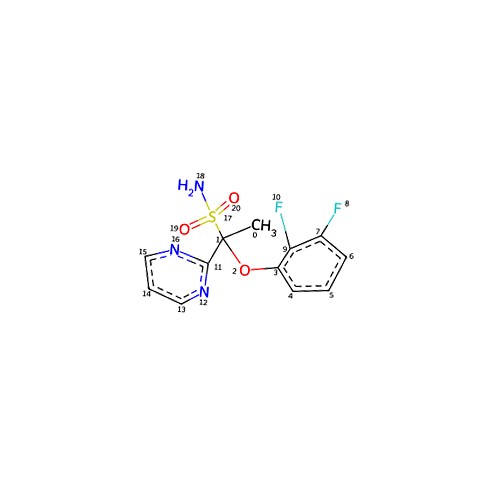 CC(Oc1cccc(F)c1F)(c1ncccn1)S(N)(=O)=O